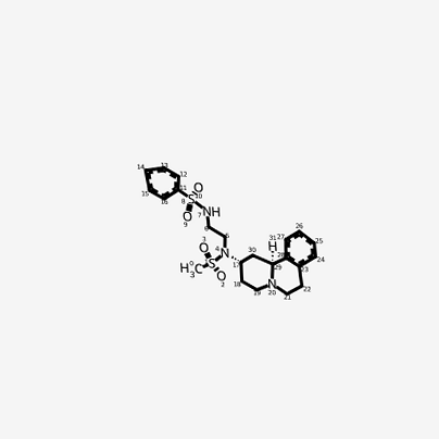 CS(=O)(=O)N(CCNS(=O)(=O)c1ccccc1)[C@H]1CCN2CCc3ccccc3[C@@H]2C1